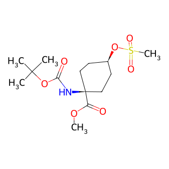 COC(=O)[C@]1(NC(=O)OC(C)(C)C)CC[C@@H](OS(C)(=O)=O)CC1